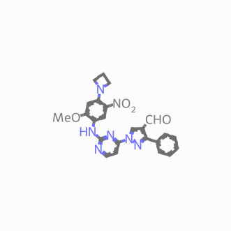 COc1cc(N2CCC2)c([N+](=O)[O-])cc1Nc1nccc(-n2cc(C=O)c(-c3ccccc3)n2)n1